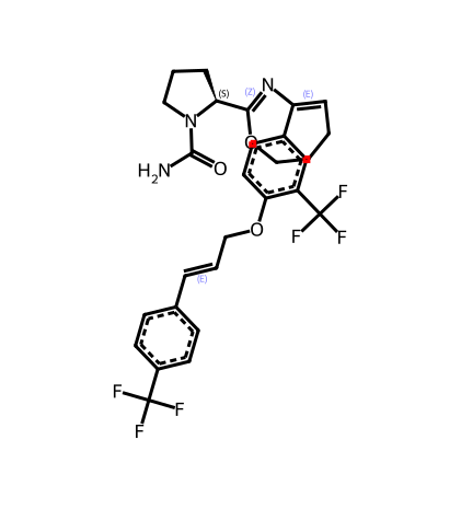 NC(=O)N1CCC[C@H]1/C1=N/C(c2ccc(OC/C=C/c3ccc(C(F)(F)F)cc3)c(C(F)(F)F)c2)=C/CCCO1